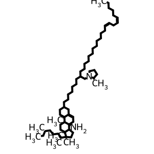 CCCCC/C=C\C/C=C\CCCCCCCCCCCCC(CCCCCCCC1CC[C@@]2(C)C(=CCC3(N)C4CC[C@](C)([C@H](C)CCCC(C)CC)C4(C)CCC32)C1)CN1CCCC1C